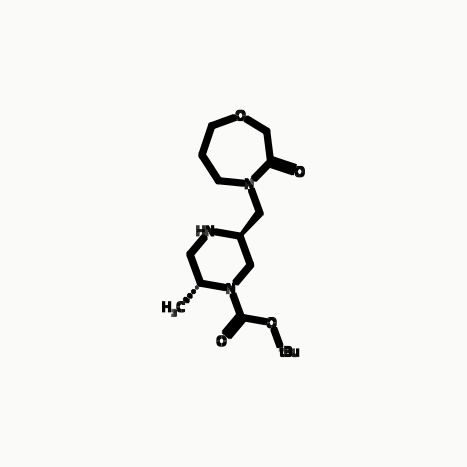 C[C@@H]1CN[C@@H](CN2CCCOCC2=O)CN1C(=O)OC(C)(C)C